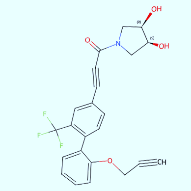 C#CCOc1ccccc1-c1ccc(C#CC(=O)N2C[C@@H](O)[C@@H](O)C2)cc1C(F)(F)F